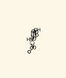 O=C(OCc1ccccc1)N1CCCC(NC(=O)N2CC[C@@H]3[C@H]2C(=O)N3S(=O)(=O)O)CCC1